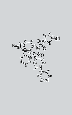 CCOc1ccccc1C1(N2CCN(c3ccncc3)CC2)C(=O)N(S(=O)(=O)c2ccc(Cl)s2)c2ccc(C#N)cc21